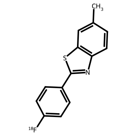 Cc1ccc2nc(-c3ccc([18F])cc3)sc2c1